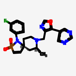 C[C@H]1C[C@@]2(C=CS(=O)(=O)N2c2cccc(F)c2)CCN1Cc1ncoc1-c1cncnc1